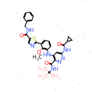 BC(B)(B)NC(=O)c1nnc(NC(=O)C2CC2)cc1Nc1cccc(-c2ncc(C(=O)NCc3ccccc3)s2)c1OC